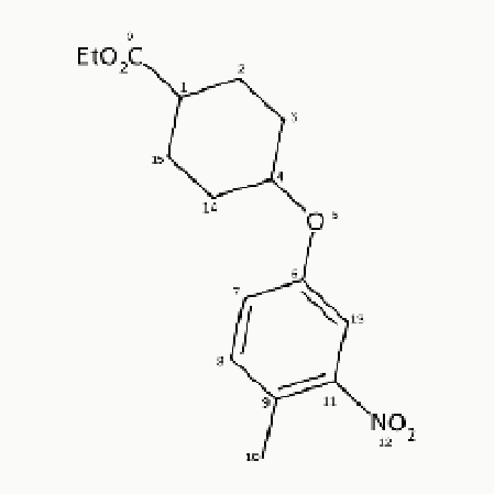 CCOC(=O)C1CCC(Oc2ccc(C)c([N+](=O)[O-])c2)CC1